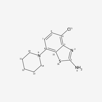 Nc1nc2c(Cl)ccc(N3CCCCC3)c2s1